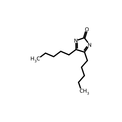 CCCCCC1=NC(=O)N=C1CCCCC